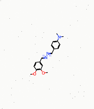 COc1ccc(/C=N/N=C/c2ccc(N(C)C)cc2)cc1OC